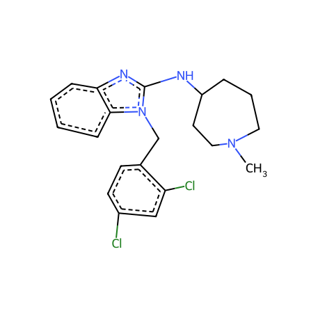 CN1CCCC(Nc2nc3ccccc3n2Cc2ccc(Cl)cc2Cl)CC1